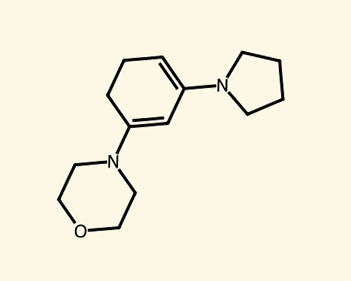 C1=C(N2CCCC2)C=C(N2CCOCC2)CC1